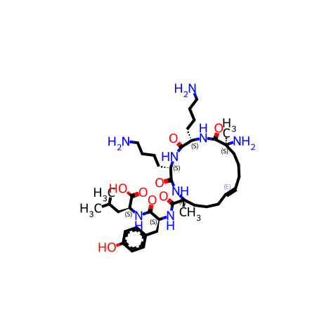 CC(C)C[C@H](NC(=O)[C@H](Cc1ccc(O)cc1)NC(=O)[C@@]1(C)CCC/C=C/CCC[C@](C)(N)C(=O)N[C@@H](CCCCN)C(=O)N[C@@H](CCCCN)C(=O)N1)C(=O)O